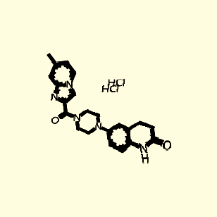 Cc1ccn2cc(C(=O)N3CCN(c4ccc5c(c4)CCC(=O)N5)CC3)nc2c1.Cl.Cl